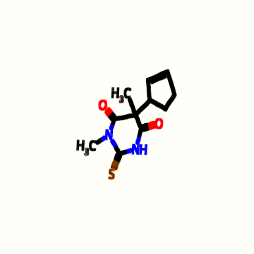 CN1C(=O)C(C)(C2C=CCC2)C(=O)NC1=S